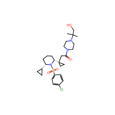 CC(C)(CO)N1CCN(C(=O)CC2([C@H]3CCC[C@@H](C4CC4)N3S(=O)(=O)c3ccc(Cl)cc3)CC2)CC1